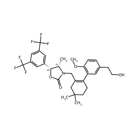 COc1ccc(CCO)cc1C1=C(CN2C(=O)O[C@H](c3cc(C(F)(F)F)cc(C(F)(F)F)c3)[C@@H]2C)CC(C)(C)CC1